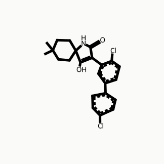 CC1(C)CCC2(CC1)NC(=O)C(c1cc(-c3ccc(Cl)cc3)ccc1Cl)=C2O